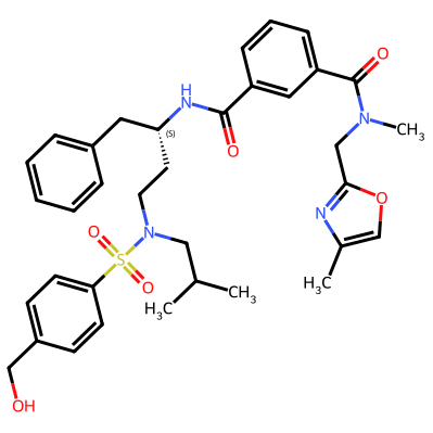 Cc1coc(CN(C)C(=O)c2cccc(C(=O)N[C@H](CCN(CC(C)C)S(=O)(=O)c3ccc(CO)cc3)Cc3ccccc3)c2)n1